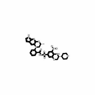 C[C@@H]1CN(c2ccccc2C(=O)NS(=O)(=O)c2cc3c(c([N+](=O)[O-])c2)N[C@H](C2CCOCC2)CO3)c2cc3cc[nH]c3nc2O1